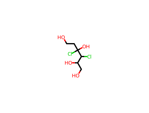 OCCC(O)(Cl)C(Cl)C(O)CO